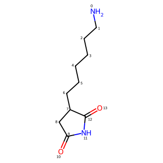 NCCCCCCC1CC(=O)NC1=O